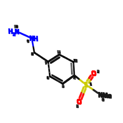 CNS(=O)(=O)c1ccc(CNN)cc1